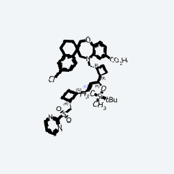 CC(C)(C)[Si](C)(C)O[C@@H](/C=C/[C@@H]1CC[C@H]1CS(=O)(=O)c1ncccn1)[C@@H]1CC[C@H]1CN1CC2(CCCc3cc(Cl)ccc32)COc2ccc(C(=O)O)cc21